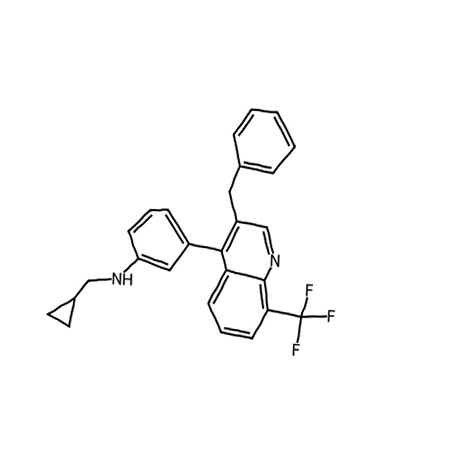 FC(F)(F)c1cccc2c(-c3cccc(NCC4CC4)c3)c(Cc3ccccc3)cnc12